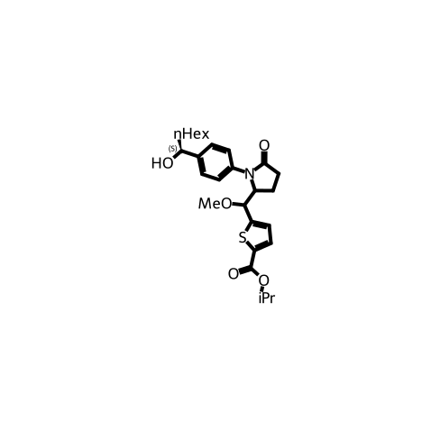 CCCCCC[C@H](O)c1ccc(N2C(=O)CCC2C(OC)c2ccc(C(=O)OC(C)C)s2)cc1